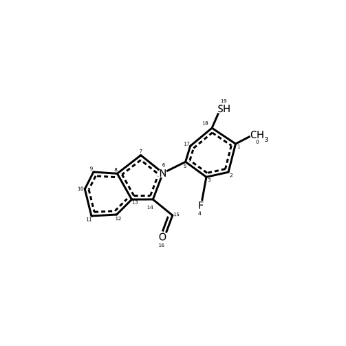 Cc1cc(F)c(-n2cc3ccccc3c2C=O)cc1S